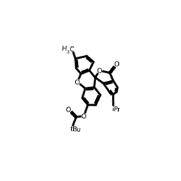 Cc1ccc2c(c1)Oc1cc(OC(=O)C(C)(C)C)ccc1C21OC(=O)c2ccc(C(C)C)cc21